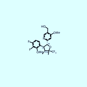 COc1cc([C@@H]2O[C@@](C)(C(F)(F)F)[C@@H](C)[C@H]2c2ccc(F)c(F)c2OC)ncc1CO